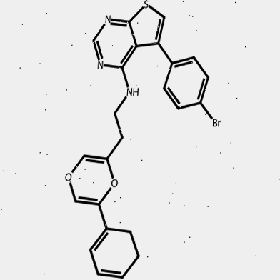 Brc1ccc(-c2csc3ncnc(NCCC4=COC=C(C5=CC=CCC5)O4)c23)cc1